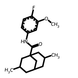 COc1cc(NC(=O)C23CC(C)CC(CC(C)C2)C3)ccc1F